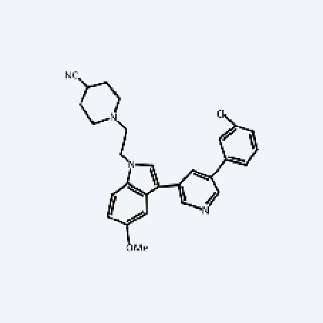 COc1ccc2c(c1)c(-c1cncc(-c3cccc(Cl)c3)c1)cn2CCN1CCC(C#N)CC1